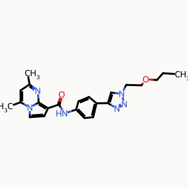 CCCOCCn1cc(-c2ccc(NC(=O)c3ccn4c(C)cc(C)nc34)cc2)nn1